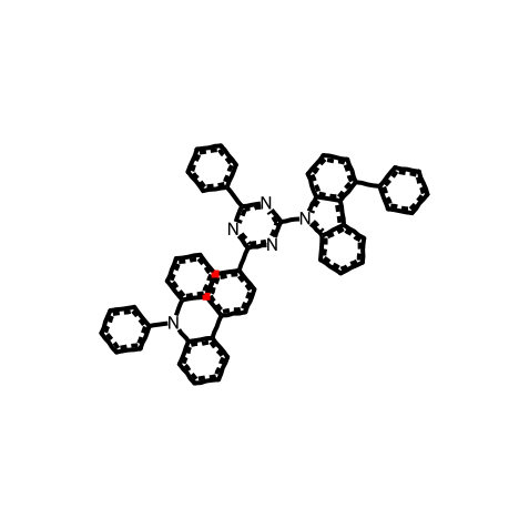 c1ccc(-c2nc(-c3ccc(-c4ccccc4N(c4ccccc4)c4ccccc4)cc3)nc(-n3c4ccccc4c4c(-c5ccccc5)cccc43)n2)cc1